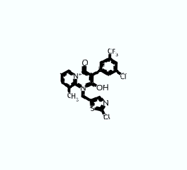 Cc1ccc[n+]2c(=O)c(-c3cc(Cl)cc(C(F)(F)F)c3)c(O)n(Cc3cnc(Cl)s3)c12